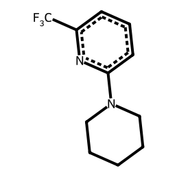 FC(F)(F)c1cccc(N2CCCCC2)n1